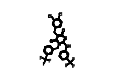 O=c1nc(Nc2cccc(C(F)(F)F)c2)n(Cc2cccc(C(F)(F)F)c2)c(=O)n1Cc1ccc(Cl)c(Cl)c1